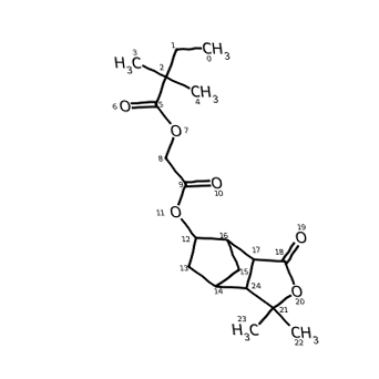 CCC(C)(C)C(=O)OCC(=O)OC1CC2CC1C1C(=O)OC(C)(C)C21